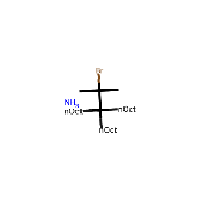 CCCCCCCCC(CCCCCCCC)(CCCCCCCC)C(C)(C)Br.N